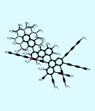 BBB(B)B(B(B)B)c1c(B(B(B)B)B(B)B)c(B(BB)B(B)B)c(B(B)B(B)B)c2c(C)c(-c3c(C)c(C)c(C)c4c(C)c5c(-c6c(C#CC#CC#CC#CC#C)c7c(C)c(C#C)c(C#CC)c(C#CC#C)c7c7c(C#CC#CC)c(C#CC#CC#C)c(C#CC#CC#CC)cc67)c(C)c(C)c(C)c5c(C)c34)c(BB)c(B)c12